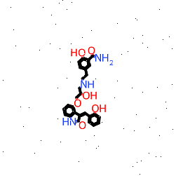 NC(=O)c1cc(CCNCC(O)COc2cccc3c2C(=Cc2ccccc2O)C(=O)N3)ccc1O